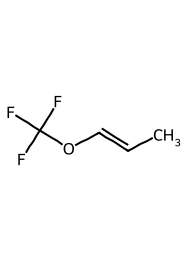 CC=COC(F)(F)F